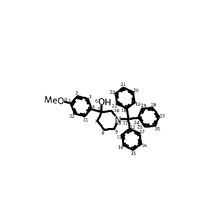 COc1ccc(C2(O)CCCN(C(c3ccccc3)(c3ccccc3)c3ccccc3)C2)cc1